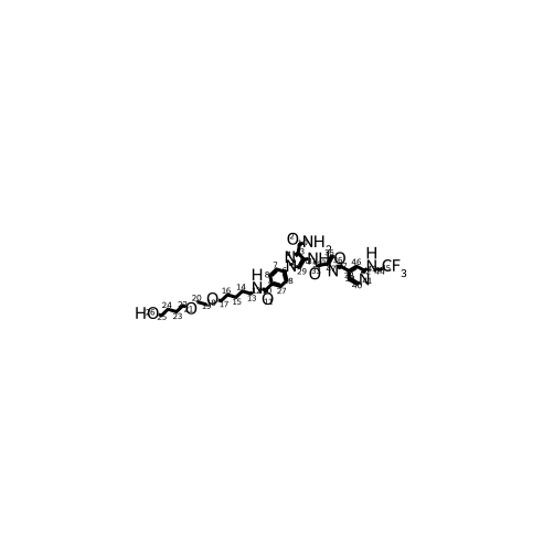 NC(=O)c1nn(-c2ccc(C(=O)NCCCCCOCCOCCCCO)cc2)cc1NC(=O)c1coc(-c2ccnc(NCC(F)(F)F)c2)n1